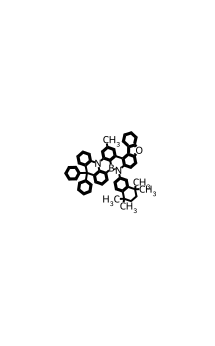 Cc1cc2c3c(c1)N1c4ccccc4C(c4ccccc4)(c4ccccc4)c4cccc(c41)B3N(c1ccc3c(c1)C(C)(C)CCC3(C)C)c1ccc3oc4ccccc4c3c1-2